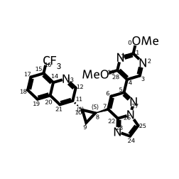 COc1ncc(-c2cc([C@H]3C[C@@H]3c3cnc4c(C(F)(F)F)cccc4c3)c3nccn3n2)c(OC)n1